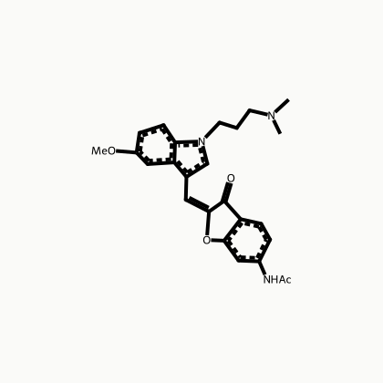 COc1ccc2c(c1)c(C=C1Oc3cc(NC(C)=O)ccc3C1=O)cn2CCCN(C)C